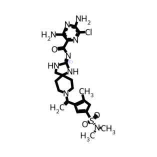 C=C(C1=C(C)CC(S(=O)(=O)N(C)C)=C1)N1CCC2(CC1)CN/C(=N\C(=O)c1nc(Cl)c(N)nc1N)N2